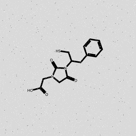 O=C(O)CN1CC(=O)N(C(CS)Cc2ccccc2)C1=O